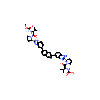 COC(=O)N[C@H](C(=O)N1CCC[C@H]1c1nc2cc(-c3ccc4ccc(-c5ccc6[nH]c([C@@H]7CCCN7C(=O)[C@@H](NC(=O)O)C(C)C)nc6c5)cc4c3)ccc2[nH]1)C(C)C